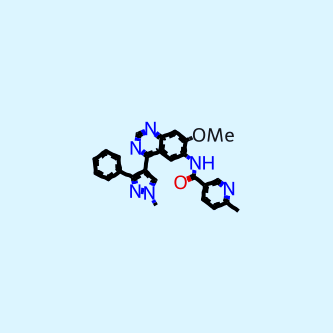 COc1cc2ncnc(-c3cn(C)nc3-c3ccccc3)c2cc1NC(=O)c1ccc(C)nc1